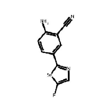 N#Cc1cc(-c2ncc(F)[se]2)ccc1N